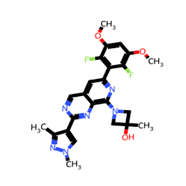 COc1cc(OC)c(F)c(-c2cc3cnc(-c4cn(C)nc4C)nc3c(N3CC(C)(O)C3)n2)c1F